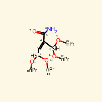 CCCO[SiH](C=C(C(N)=O)[SiH](OCCC)OCCC)OCCC